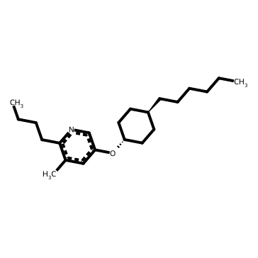 CCCCCC[C@H]1CC[C@H](Oc2cnc(CCCC)c(C)c2)CC1